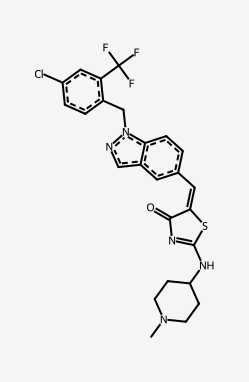 CN1CCC(NC2=NC(=O)C(=Cc3ccc4c(cnn4Cc4ccc(Cl)cc4C(F)(F)F)c3)S2)CC1